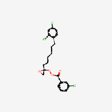 O=C(OOC1(CCCCCCc2ccc(Cl)cc2Cl)CO1)c1cccc(Cl)c1